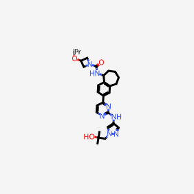 CC(C)OC1CN(C(=O)NC2CCCCc3cc(-c4ccnc(Nc5cnn(CC(C)(C)O)c5)n4)ccc32)C1